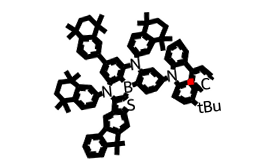 CC(C)(C)c1ccc(N(c2ccc3c(c2)N(c2ccc4c(c2)C(C)(C)CCC4(C)C)c2cc(-c4ccc5c(c4)C(C)(C)CCC5(C)C)cc4c2B3c2sc3cc5c(cc3c2N4c2ccc3c(c2)C(C)(C)CCC3(C)C)-c2ccccc2C5(C)C)c2ccccc2-c2ccccc2)cc1